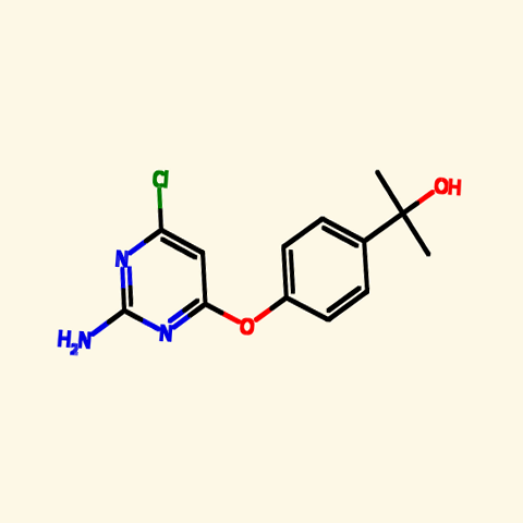 CC(C)(O)c1ccc(Oc2cc(Cl)nc(N)n2)cc1